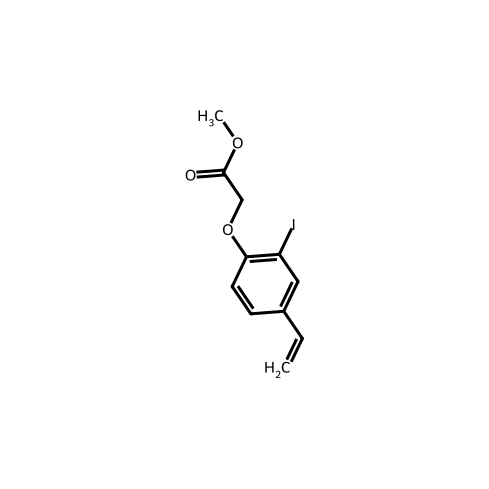 C=Cc1ccc(OCC(=O)OC)c(I)c1